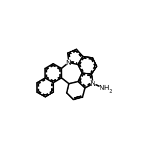 Nn1c2c3c4c5c(ccc41)ccn5-c1ccc4ccccc4c1C3CC=C2